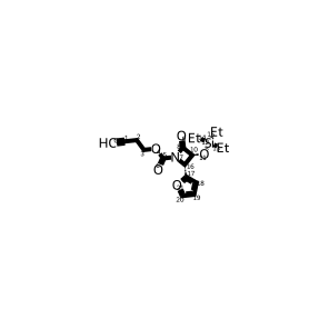 C#CCCOC(=O)N1C(=O)[C@H](O[Si](CC)(CC)CC)[C@@H]1c1ccco1